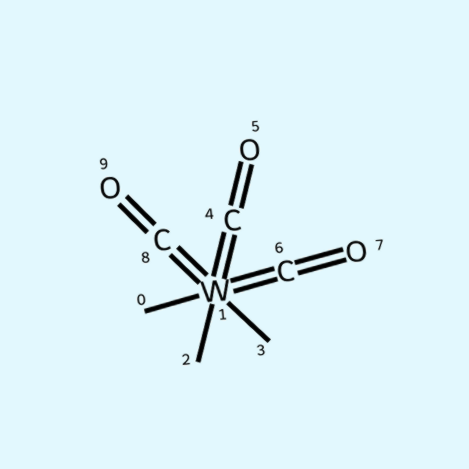 [CH3][W]([CH3])([CH3])(=[C]=O)(=[C]=O)=[C]=O